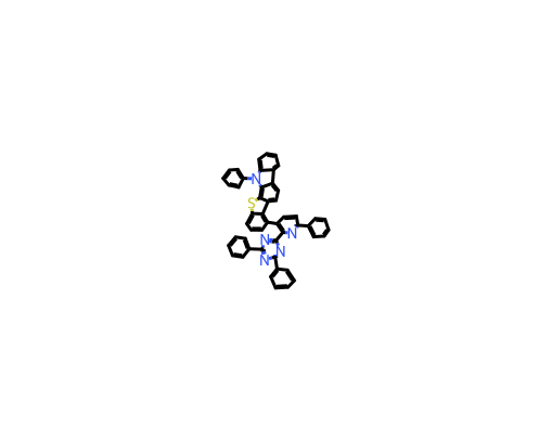 c1ccc(-c2ccc(-c3cccc4sc5c(ccc6c7ccccc7n(-c7ccccc7)c65)c34)c(-c3nc(-c4ccccc4)nc(-c4ccccc4)n3)n2)cc1